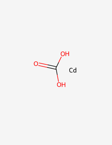 O=C(O)O.[Cd]